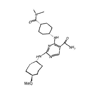 CO[C@H]1CC[C@H](Nc2ncc(C(N)=O)c(N[C@H]3CC[C@@H](C(=O)N(C)C)CC3)n2)CC1